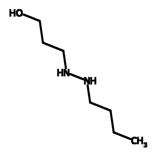 CCCCNNCCCO